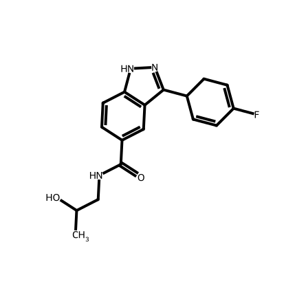 CC(O)CNC(=O)c1ccc2[nH]nc(C3C=CC(F)=CC3)c2c1